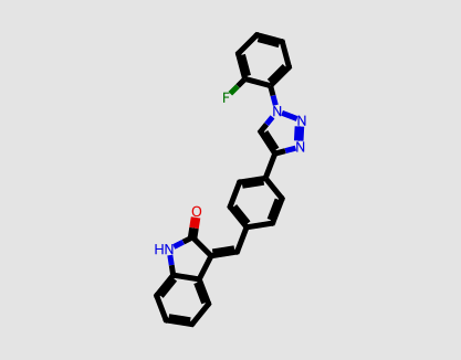 O=C1Nc2ccccc2C1=Cc1ccc(-c2cn(-c3ccccc3F)nn2)cc1